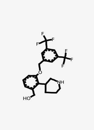 OCc1cccc(OCc2cc(C(F)(F)F)cc(C(F)(F)F)c2)c1C1CCCNC1